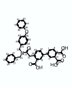 O=C(O)c1cc(-c2ccc(C(=O)O)c(C(=O)O)c2)ccc1CC(=O)N(Cc1ccccc1)Cc1ccc(Oc2ccccc2)cc1